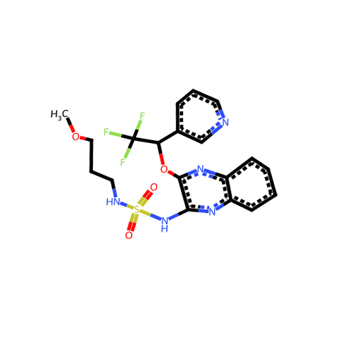 COCCCNS(=O)(=O)Nc1nc2ccccc2nc1OC(c1cccnc1)C(F)(F)F